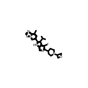 Cc1cc(-c2[nH]c3cnc(C4CCN(C5COC5)CC4)c(F)c3c2C(C)C)cn2ncnc12